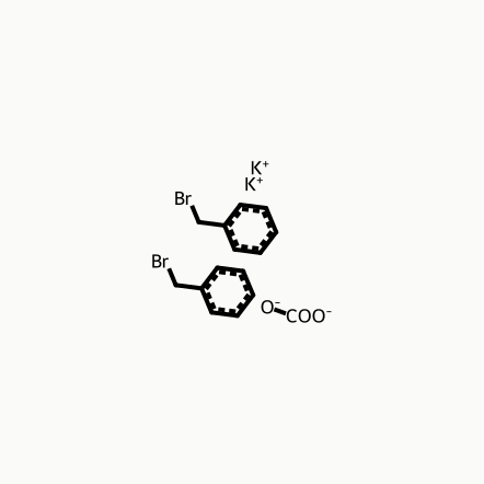 BrCc1ccccc1.BrCc1ccccc1.O=C([O-])[O-].[K+].[K+]